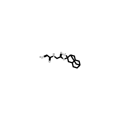 C=CC(=O)NCC(=O)OC1(C)CC2CCC3CC2CC1C3